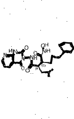 CC(C)C[C@@H](C(=O)Nn1c(=O)[nH]c2ncccc2c1=O)[C@H](CCCc1ccccc1)C(=O)NO